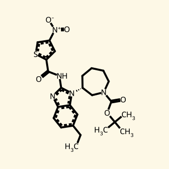 CCc1ccc2nc(NC(=O)c3cc([N+](=O)[O-])cs3)n([C@@H]3CCCCN(C(=O)OC(C)(C)C)C3)c2c1